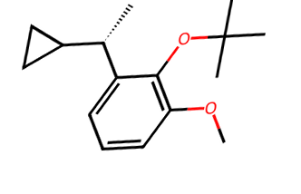 COc1cccc([C@@H](C)C2CC2)c1OC(C)(C)C